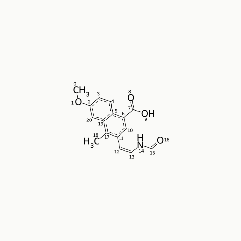 COc1ccc2c(C(=O)O)cc(/C=C\NC=O)c(C)c2c1